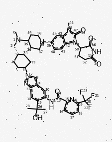 CN(C[C@H]1CC[C@H](n2cc3cc(NC(=O)c4cccc(C(F)(F)F)n4)c(C(C)(C)O)cc3n2)CC1)C1CCN(c2ccc3c(c2)n(C)c(=O)n3C2CCC(=O)NC2=O)CC1